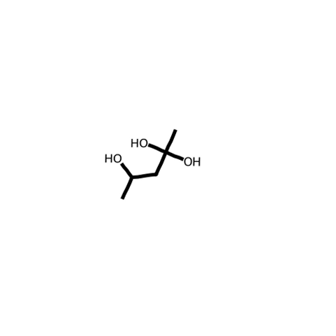 CC(O)CC(C)(O)O